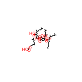 CC(C)=CCCC(C)=CCC(C(=O)O)c1ccccc1.CC(C)=CCCC(C)=CCCOCC(=O)O.CC(C)=CCCC(C)=CCc1cccc(C(=O)O)c1C(=O)O.CCCCCCCC(CC=C(C)CCC=C(C)C)C(=O)O